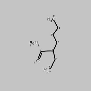 CCCCC(C=O)CC.[BaH2]